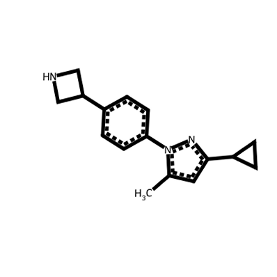 Cc1cc(C2CC2)nn1-c1ccc(C2CNC2)cc1